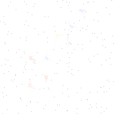 O=C(C1COc2ccccc2O1)N1CCc2nc(N3C4CCC3CNC4)sc2C1